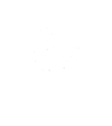 C=C(C)C(=O)[O][Ti+]([O]C(=O)C(=C)C)[CH]1CCCC2=C1CC1=C2CCCC1.[Cl-]